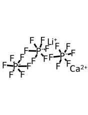 F[P-](F)(F)(F)(F)F.F[P-](F)(F)(F)(F)F.F[P-](F)(F)(F)(F)F.[Ca+2].[Li+]